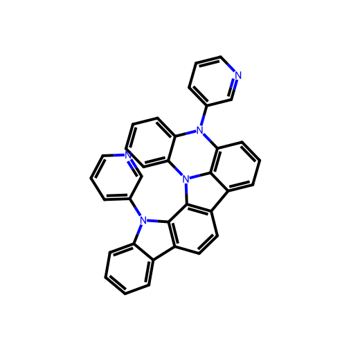 c1cncc(N2c3ccccc3-n3c4c2cccc4c2ccc4c5ccccc5n(-c5cccnc5)c4c23)c1